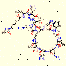 CCCCCCCC[C@H](NC(=O)CCCCCNC(=O)CCC)C(=O)N[C@@H](CCN)C(=O)N[C@H](C(=O)N[C@@H](CCN)C(=O)N[C@H]1CCNC(=O)[C@H]([C@@H](C)O)NC(=O)[C@H](CCN)NC(=O)[C@H](CCN)NC(=O)[C@H](CC(C)C)NC(=O)[C@@H](Cc2ccccc2)NC(=O)[C@H](CCN)NC1=O)[C@@H](C)O